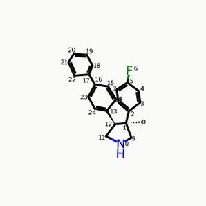 C[C@]1(c2ccc(F)cc2)CNC[C@H]1c1ccc(-c2ccccc2)cc1